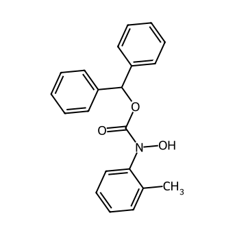 Cc1ccccc1N(O)C(=O)OC(c1ccccc1)c1ccccc1